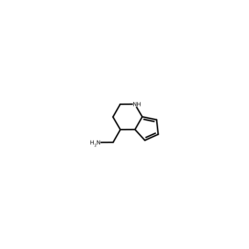 NCC1CCNC2=CC=CC21